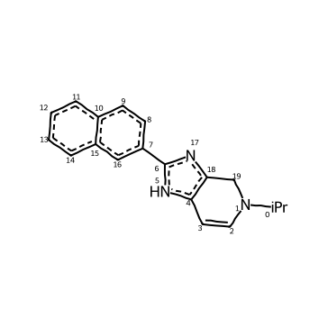 CC(C)N1C=Cc2[nH]c(-c3ccc4ccccc4c3)nc2C1